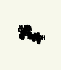 Nc1ncccc1-c1nc2c(Cl)cc(-n3cccn3)nc2n1-c1ccc2c(c1)CC[C@@H]2NC(=O)c1cc(C=O)c(O)c(F)c1F